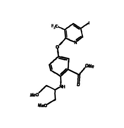 COCC(COC)Nc1ccc(Oc2ncc(I)cc2C(F)(F)F)cc1C(=O)OC